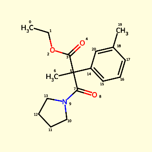 CCOC(=O)C(C)(C(=O)N1CCCC1)c1cccc(C)c1